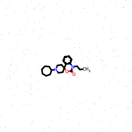 CCCN1C(=O)OC2(CCN(C3CCCCCC3)CC2)c2ccccc21